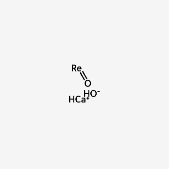 [CaH+].[OH-].[O]=[Re]